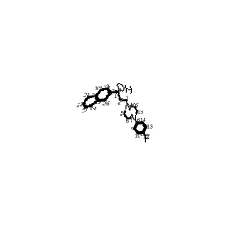 OC(CCN1CCN(c2ccc(F)cc2)CC1)c1ccc2ccccc2c1